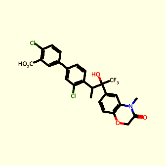 CC(c1ccc(-c2ccc(Cl)c(C(=O)O)c2)cc1Cl)C(O)(c1ccc2c(c1)N(C)C(=O)CO2)C(F)(F)F